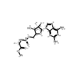 CC(C)OC(=O)[C@H](C)N[PH](=O)OCC1O[C@@H](n2cnc3c(N)nc(N)nc32)[C@](C)(F)[C@@H]1O